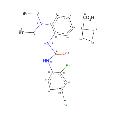 CC(C)CN(CC(C)C)c1ccc(C2(C(=O)O)CCC2)cc1NC(=O)Nc1ccc(F)cc1F